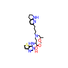 COC(C)CN(CCCCc1ccc2c(n1)NCCC2)CCC(Nc1ncnc2ccsc12)C(=O)O